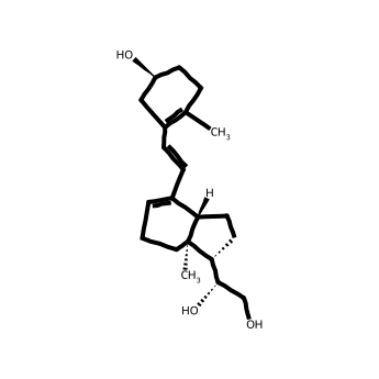 CC1=C(/C=C/C2=CCC[C@]3(C)[C@@H]([C@@H](O)CO)CC[C@@H]23)C[C@@H](O)CC1